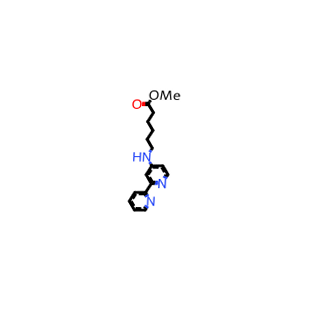 COC(=O)CCCCCNc1ccnc(-c2ccccn2)c1